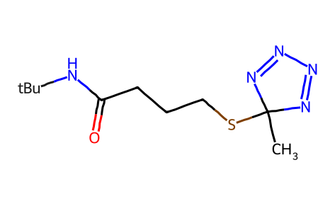 CC(C)(C)NC(=O)CCCSC1(C)N=NN=N1